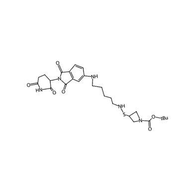 CC(C)(C)OC(=O)N1CC(SNCCCCCNc2ccc3c(c2)C(=O)N(C2CCC(=O)NC2=O)C3=O)C1